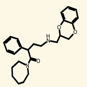 O=C(C(CCNCC1COc2ccccc2O1)c1ccccc1)N1CCCCCC1